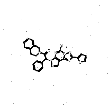 Nc1nc2c(cnn2[C@H](C(=O)N2CCc3ccccc3C2)c2ccccc2)c2nc(-c3ccco3)nn12